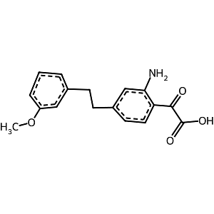 COc1cccc(CCc2ccc(C(=O)C(=O)O)c(N)c2)c1